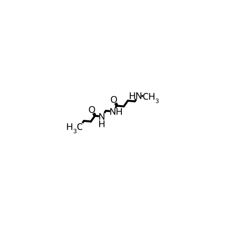 CCCC(=O)NCNC(=O)CCCNC